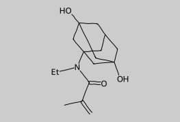 C=C(C)C(=O)N(CC)C12CC3CC(O)(CC(O)(C3)C1)C2